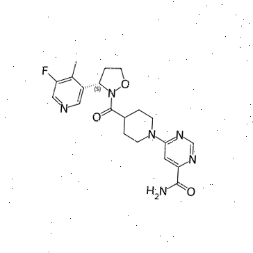 Cc1c(F)cncc1[C@@H]1CCON1C(=O)C1CCN(c2cc(C(N)=O)ncn2)CC1